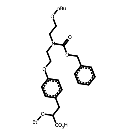 CCCCOCCN(CCOc1ccc(CC(OCC)C(=O)O)cc1)C(=O)OCc1ccccc1